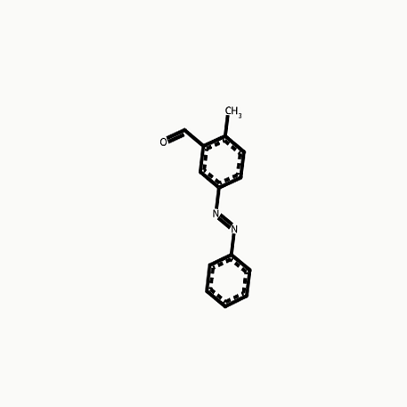 Cc1ccc(/N=N/c2ccccc2)cc1C=O